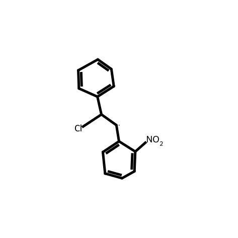 O=[N+]([O-])c1ccccc1[CH]C(Cl)c1ccccc1